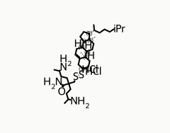 CC(C)CCCC(C)[C@H]1CC[C@H]2[C@@H]3CC=C4C[C@@H](SSCC(CCC(C)N)(CCC(C)N)C(N)=O)CC[C@]4(C)[C@H]3CC[C@]12C.Cl.Cl